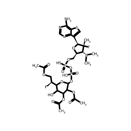 CC(=O)OC[C@H](F)C1OC(OP(=O)(O)OP(=O)(S)OC[C@H]2O[C@@H](c3csc4c(N)ncnc34)[C@](C)(F)[C@@H]2N(C)C)C(OC(C)=O)C(OC(C)=O)C1O